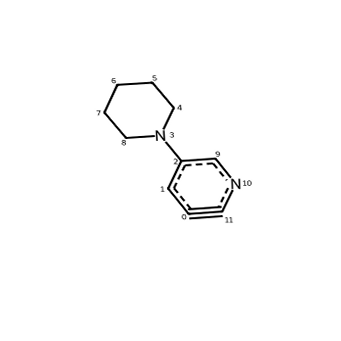 c1cc(N2CCCCC2)cnc#1